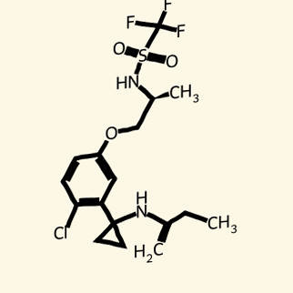 C=C(CC)NC1(c2cc(OC[C@H](C)NS(=O)(=O)C(F)(F)F)ccc2Cl)CC1